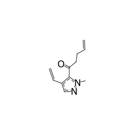 C=CCCC(=O)c1c(C=C)cnn1C